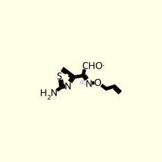 C=CCO/N=C(\[C]=O)c1csc(N)n1